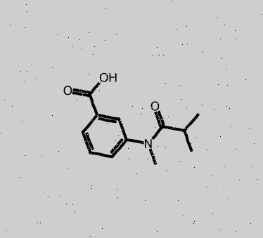 CC(C)C(=O)N(C)c1cccc(C(=O)O)c1